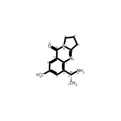 Cc1cc([C@@H](C)N)c2nc3n(c(=O)c2c1)CCC3